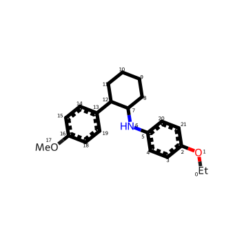 CCOc1ccc(NC2CCCCC2c2ccc(OC)cc2)cc1